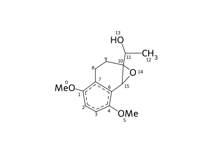 COc1ccc(OC)c2c1CCC1(C(C)O)OC21